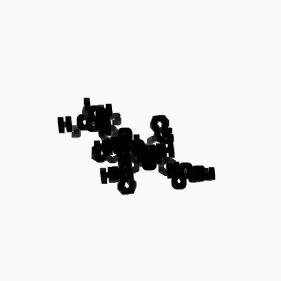 CC(C)(C)OC(=O)N1CCC(C(=O)NC(Cc2csc3ccccc23)C(=O)NC(Cc2c[nH]c3ccccc23)C(=O)NC(Cc2ccccc2)C(=O)NC2(C(N)=O)CCN(C(=O)OC(C)(C)CI)CC2)CC1